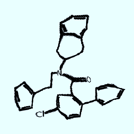 O=C(c1cc(Cl)ccc1-c1ccccc1)N(CCc1ccccc1)C1Cc2ccccc2C1